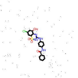 O=C(Nc1ccc(NC2=Nc3c(O)cc(Cl)cc3S(=O)(=O)N2)cc1)c1ccccc1